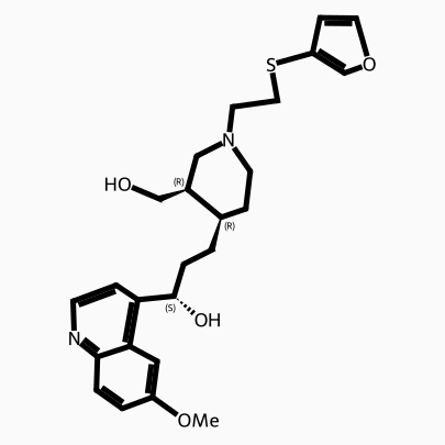 COc1ccc2nccc([C@@H](O)CC[C@@H]3CCN(CCSc4ccoc4)C[C@@H]3CO)c2c1